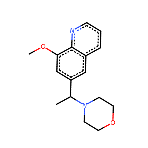 COc1cc(C(C)N2CCOCC2)cc2cccnc12